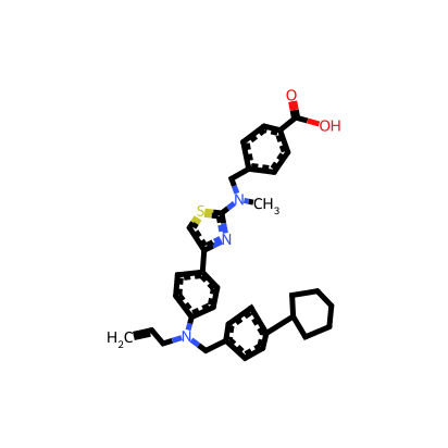 C=CCN(Cc1ccc(C2CCCCC2)cc1)c1ccc(-c2csc(N(C)Cc3ccc(C(=O)O)cc3)n2)cc1